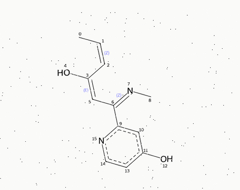 C\C=C/C(O)=C\C(=N\C)c1cc(O)ccn1